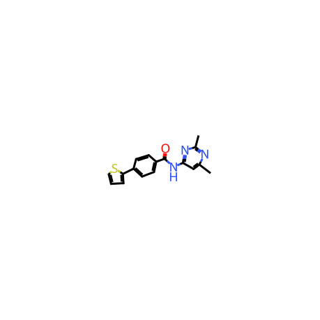 Cc1cc(NC(=O)c2ccc(-c3cccs3)cc2)nc(C)n1